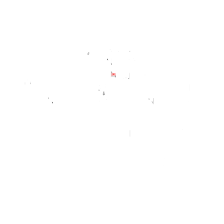 C#Cc1c(F)ccc2cc(OCOC)cc(-c3nc4c5c(nc(CCCN6CCOCC6)c(C)c5c3F)N3C[C@H]5CC[C@@H]([C@H]3[C@H](C)O4)N5C(=O)OC(C)(C)C)c12